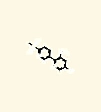 CS(=O)(=O)c1ccc(-c2ncc(Br)cc2[N+](=O)[O-])cn1